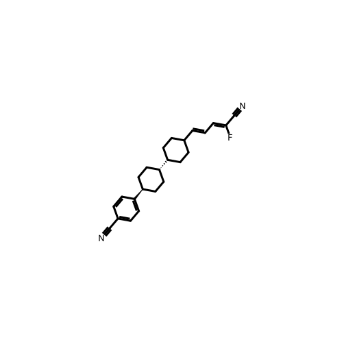 N#C/C(F)=C/C=C/C1CCC([C@H]2CC[C@H](c3ccc(C#N)cc3)CC2)CC1